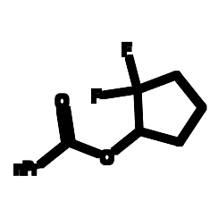 CCCC(=O)OC1CCCC1(F)F